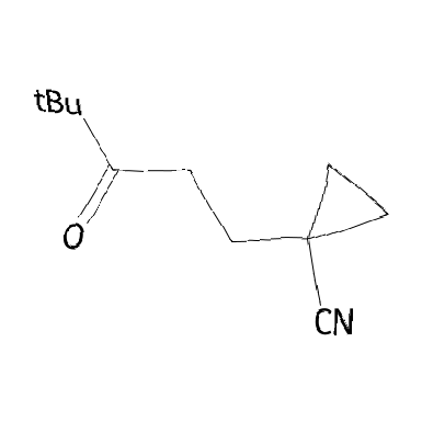 CC(C)(C)C(=O)CCC1(C#N)CC1